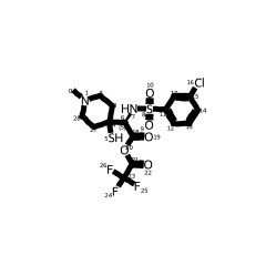 CN1CCC(S)([C@@H](NS(=O)(=O)c2cccc(Cl)c2)C(=O)OC(=O)C(F)(F)F)CC1